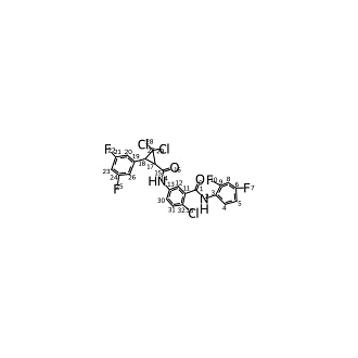 O=C(Nc1ccc(F)cc1F)c1cc(NC(=O)C2C(c3cc(F)cc(F)c3)C2(Cl)Cl)ccc1Cl